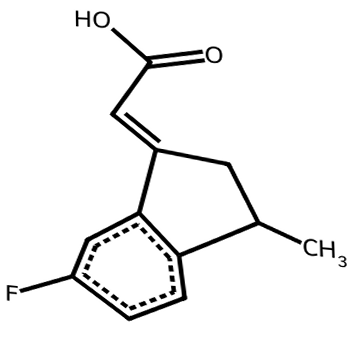 CC1C/C(=C\C(=O)O)c2cc(F)ccc21